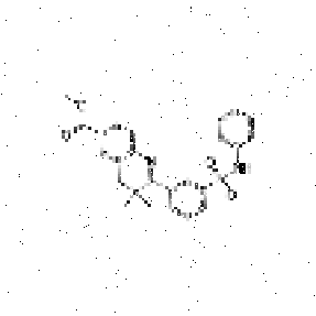 COC(=O)c1ccc2c(c1)CC(C)(C)C(c1cccc(S(=O)(=O)Nc3ccccc3)c1)=N2